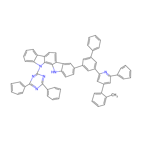 Cc1ccccc1-c1cc(-c2ccccc2)nc(-c2cc(-c3ccccc3)cc(-c3ccc4[nH]c5c(ccc6c7ccccc7n(-c7nc(-c8ccccc8)nc(-c8ccccc8)n7)c65)c4c3)c2)c1